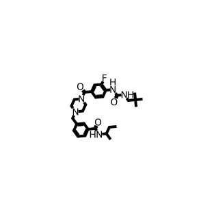 CCC(C)NC(=O)c1cccc(CN2CCN(C(=O)c3ccc(NC(=O)NCC(C)(C)C)c(F)c3)CC2)c1